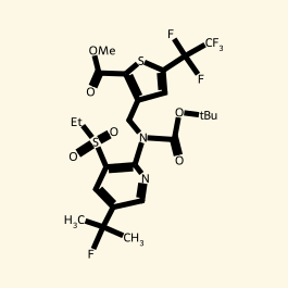 CCS(=O)(=O)c1cc(C(C)(C)F)cnc1N(Cc1cc(C(F)(F)C(F)(F)F)sc1C(=O)OC)C(=O)OC(C)(C)C